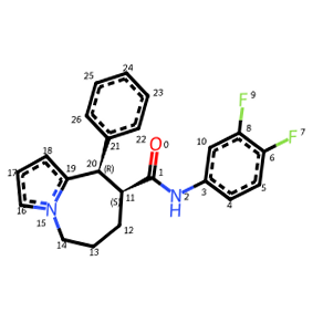 O=C(Nc1ccc(F)c(F)c1)[C@H]1CCCn2cccc2[C@H]1c1ccccc1